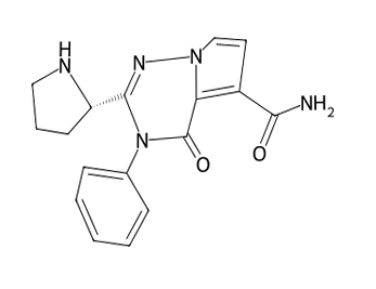 NC(=O)c1ccn2nc([C@@H]3CCCN3)n(-c3ccccc3)c(=O)c12